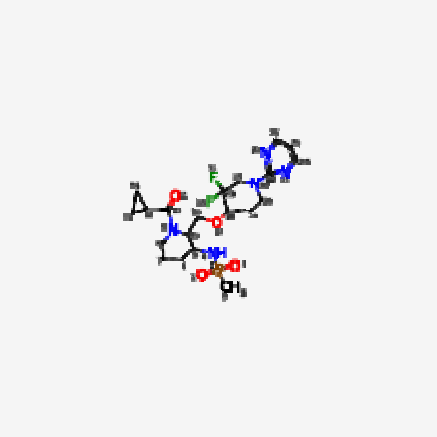 CS(=O)(=O)NC1CCCN(C(=O)C2CC2)C1COC1CCN(c2ncccn2)CC1(F)F